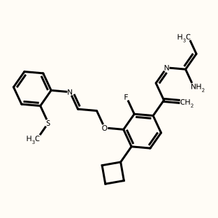 C=C(/C=N\C(N)=C/C)c1ccc(C2CCC2)c(OC/C=N/c2ccccc2SC)c1F